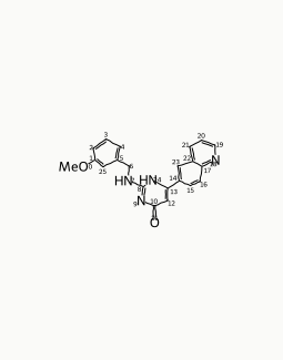 COc1cccc(CNc2nc(=O)cc(-c3ccc4ncccc4c3)[nH]2)c1